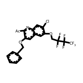 CC(=O)c1nc2cc(Cl)c(OCC(F)(F)C(F)(F)C(F)(F)F)cc2cc1OCc1ccccc1